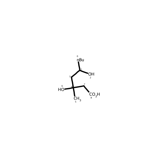 CCCCC(O)CC(C)(O)CC(=O)O